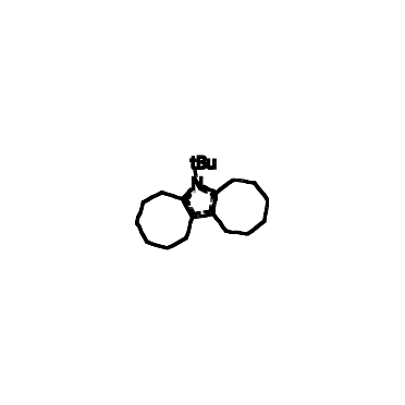 CC(C)(C)n1c2c(c3c1CCCCCC3)CCCCCC2